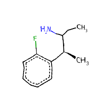 CC(N)[C@@H](C)c1ccccc1F